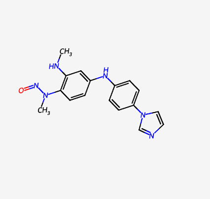 CNc1cc(Nc2ccc(-n3ccnc3)cc2)ccc1N(C)N=O